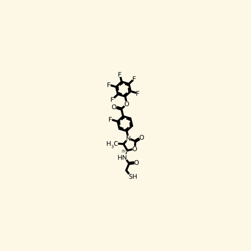 CC1[C@@H](NC(=O)CS)OC(=O)N1c1ccc(C(=O)Oc2c(F)c(F)c(F)c(F)c2F)c(F)c1